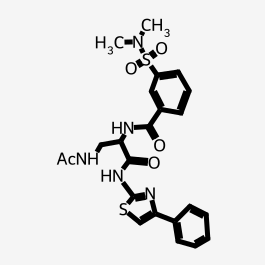 CC(=O)NCC(NC(=O)c1cccc(S(=O)(=O)N(C)C)c1)C(=O)Nc1nc(-c2ccccc2)cs1